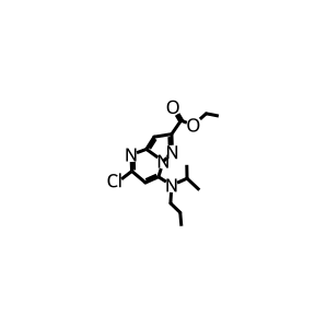 CCCN(c1cc(Cl)nc2cc(C(=O)OCC)nn12)C(C)C